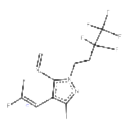 C=Nc1c(/C=C(\C)F)c(I)nn1CCC(F)(F)C(F)(F)F